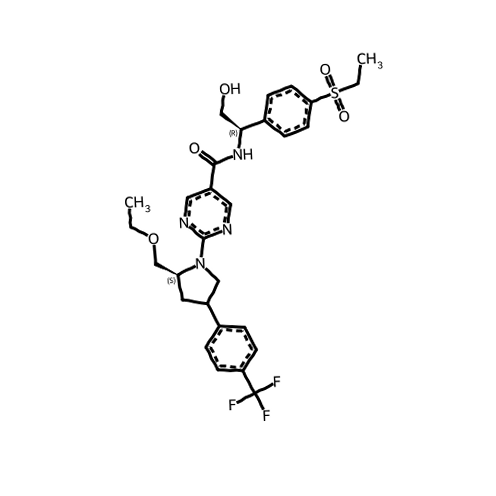 CCOC[C@@H]1CC(c2ccc(C(F)(F)F)cc2)CN1c1ncc(C(=O)N[C@@H](CO)c2ccc(S(=O)(=O)CC)cc2)cn1